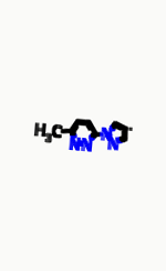 Cc1ccc(-n2c[c]cn2)nn1